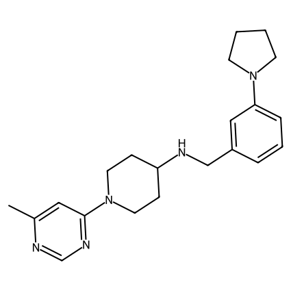 Cc1cc(N2CCC(NCc3cccc(N4CCCC4)c3)CC2)ncn1